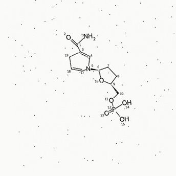 NC(=O)C1=CN([C@H]2CC[C@@H](COP(=O)(O)O)O2)C=CC1